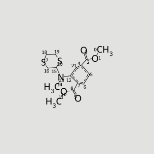 COC(=O)c1ccc(C(=O)OC)c(N(C)C2CSCCS2)c1